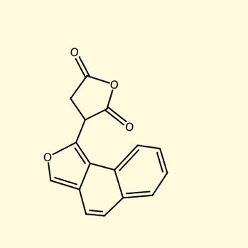 O=C1CC(c2occ3ccc4ccccc4c23)C(=O)O1